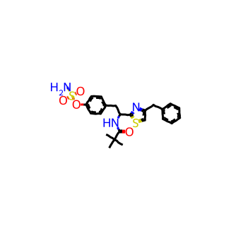 CC(C)(C)C(=O)NC(Cc1ccc(OS(N)(=O)=O)cc1)c1nc(Cc2ccccc2)cs1